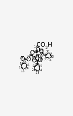 O=C(O)CO[C@H]1O[C@H](COC(=O)c2ccccc2)[C@@H](OC(=O)c2ccccc2)[C@H]1OC(=O)c1ccccc1